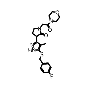 Cc1c(C2CCN(CC(=O)N3CCOCC3)C2=O)n[nH]c1SCc1ccc(F)cc1